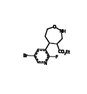 CCOC(=O)C1CNOCCC1c1cc(Br)cnc1F